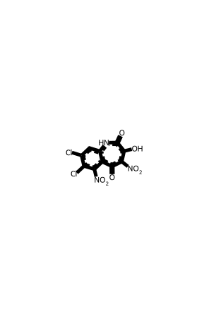 O=c1[nH]c2cc(Cl)c(Cl)c([N+](=O)[O-])c2c(=O)c([N+](=O)[O-])c1O